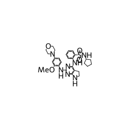 COc1cc(N2CCOCC2)ccc1Nc1nc2c(c(Nc3ccccc3S(=O)(=O)NC3CCCC3)n1)CCN2